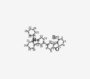 Brc1cccc2oc3ccc(-c4ccc5c(c4)c4ccccc4n5-c4ccccc4)cc3c12